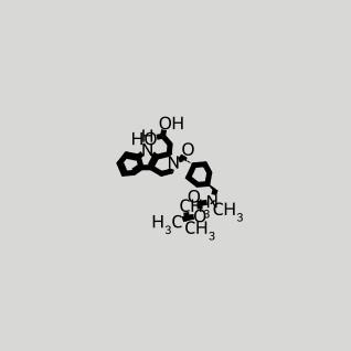 CN(C[C@H]1CC[C@H](C(=O)N2CCc3c([nH]c4ccccc34)C2CC(O)O)CC1)C(=O)OC(C)(C)C